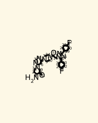 NC1CCN(c2cc(N3CCN(C(=O)Cn4nc(-c5ccc(F)cc5)nc4-c4ccc(F)cc4)CC3)ncn2)CC1=O